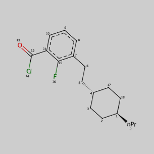 CCC[C@H]1CC[C@H](CCc2cccc(C(=O)Cl)c2F)CC1